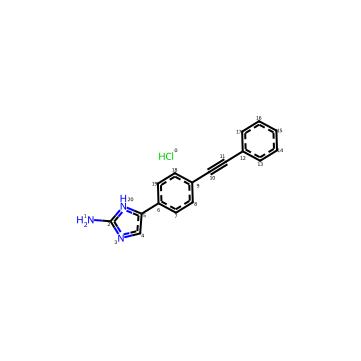 Cl.Nc1ncc(-c2ccc(C#Cc3ccccc3)cc2)[nH]1